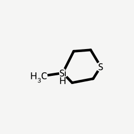 C[SiH]1CCSCC1